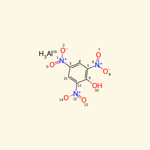 O=[N+]([O-])c1cc([N+](=O)[O-])c(O)c([N+](=O)[O-])c1.[AlH3]